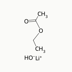 CCOC(C)=O.[Li+].[OH-]